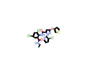 CCNC(=O)c1cc(Cl)cc(Cl)c1NC(=O)c1cc(Oc2ccsc2)nn1-c1ncccc1Cl